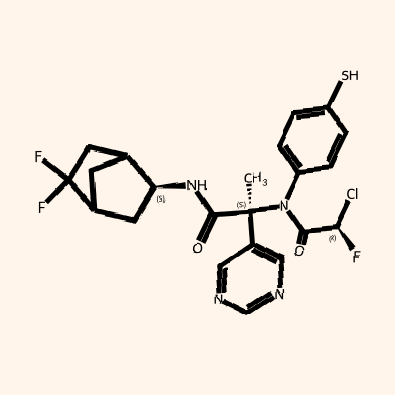 C[C@@](C(=O)N[C@H]1CC2CC1CC2(F)F)(c1cncnc1)N(C(=O)[C@H](F)Cl)c1ccc(S)cc1